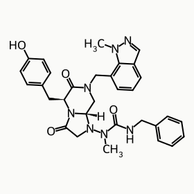 CN(C(=O)NCc1ccccc1)N1CC(=O)N2[C@@H](Cc3ccc(O)cc3)C(=O)N(Cc3cccc4cnn(C)c34)C[C@@H]21